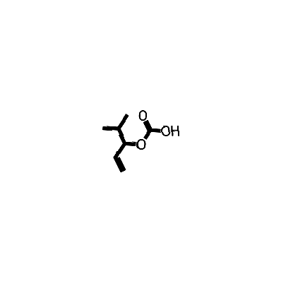 C=CC(OC(=O)O)C(C)C